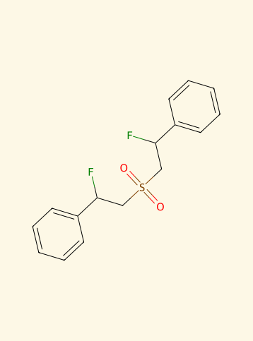 O=S(=O)(CC(F)c1ccccc1)CC(F)c1ccccc1